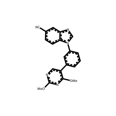 COc1ncc(-c2cccc(-n3cnc4cc(C#N)ccc43)c2)c(OC)n1